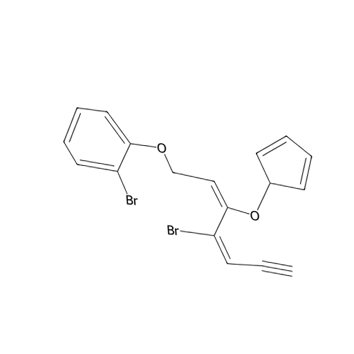 C#C/C=C(Br)\C(=C/COc1ccccc1Br)OC1C=CC=C1